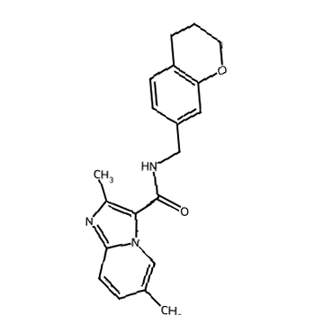 Cc1ccc2nc(C)c(C(=O)NCc3ccc4c(c3)OCCC4)n2c1